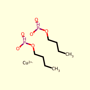 CCCCO[PH](=O)[O-].CCCCO[PH](=O)[O-].[Cu+2]